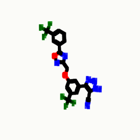 N#Cc1[nH]nnc1-c1cc(OCc2noc(-c3cccc(C(F)(F)F)c3)n2)cc(C(F)(F)F)c1